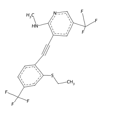 CCSc1cc(C(F)(F)F)ccc1C#Cc1cc(C(F)(F)F)cnc1NC